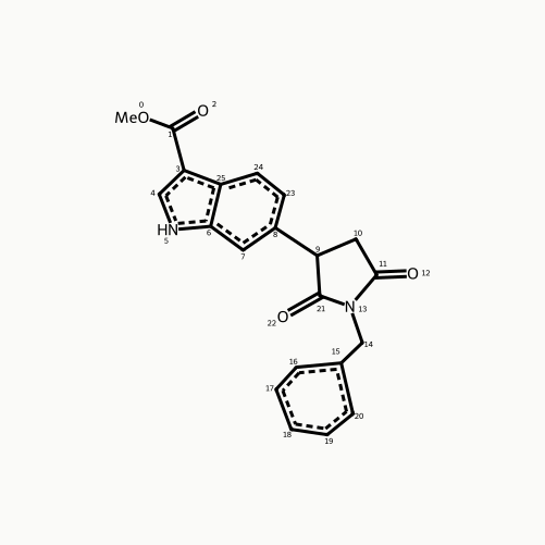 COC(=O)c1c[nH]c2cc(C3CC(=O)N(Cc4ccccc4)C3=O)ccc12